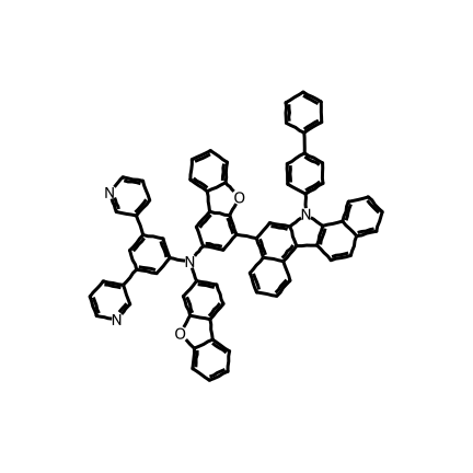 c1ccc(-c2ccc(-n3c4cc(-c5cc(N(c6cc(-c7cccnc7)cc(-c7cccnc7)c6)c6ccc7c(c6)oc6ccccc67)cc6c5oc5ccccc56)c5ccccc5c4c4ccc5ccccc5c43)cc2)cc1